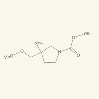 COOCC1(N)CCN(C(=O)OC(C)(C)C)C1